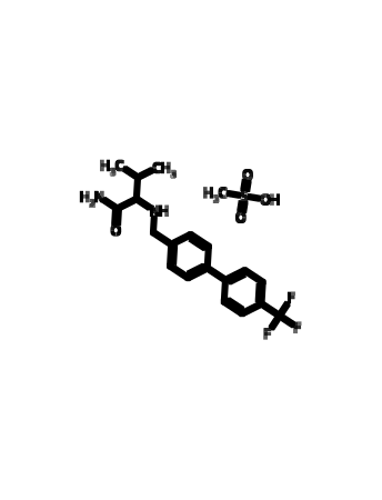 CC(C)C(NCc1ccc(-c2ccc(C(F)(F)F)cc2)cc1)C(N)=O.CS(=O)(=O)O